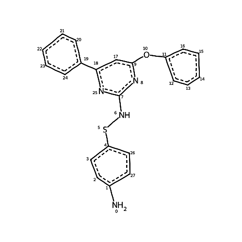 Nc1ccc(SNc2nc(Oc3ccccc3)cc(-c3ccccc3)n2)cc1